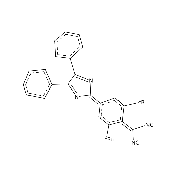 [C-]#[N+]C([N+]#[C-])=c1c(C(C)(C)C)cc(=C2N=C(c3ccccc3)C(c3ccccc3)=N2)cc1C(C)(C)C